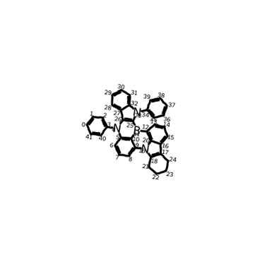 c1ccc(N2c3cccc4c3B(c3cccc5c6c(n-4c35)CCCC6)c3c2c2ccccc2n3-c2ccccc2)cc1